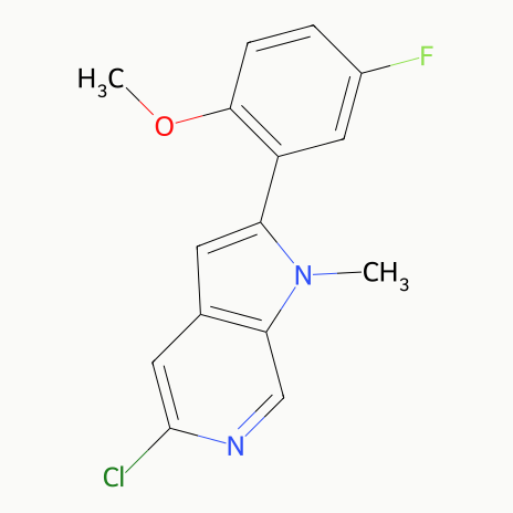 COc1ccc(F)cc1-c1cc2cc(Cl)ncc2n1C